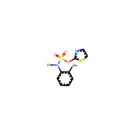 CCCCc1ccccc1N(CC)S(=O)(=O)Oc1nccs1